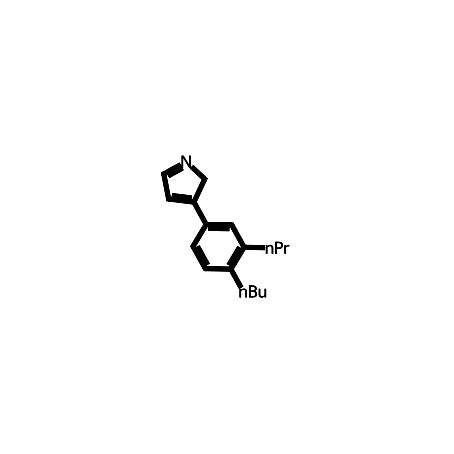 CCCCc1ccc(C2=CC=NC2)cc1CCC